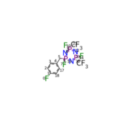 Fc1ccc(CP2(F)=NP(F)(C(F)(F)F)=NP(F)(C(F)(F)F)=N2)cc1